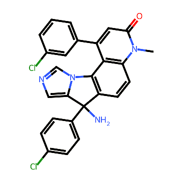 Cn1c(=O)cc(-c2cccc(Cl)c2)c2c3c(ccc21)C(N)(c1ccc(Cl)cc1)c1cncn1-3